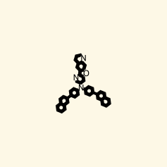 c1ccc2cc(-c3ccc(N(c4ccc(-c5ccc6ccccc6c5)cc4)c4cnc5c(c4)oc4cc6ncccc6cc45)cc3)ccc2c1